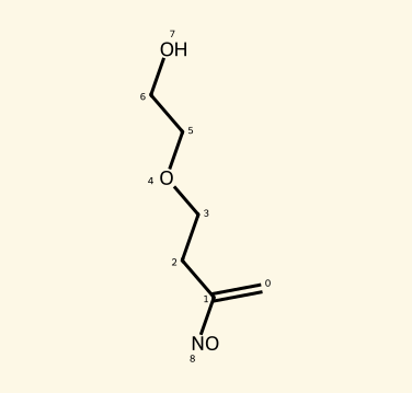 C=C(CCOCCO)N=O